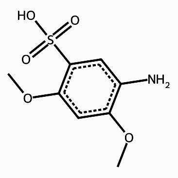 COc1cc(OC)c(S(=O)(=O)O)cc1N